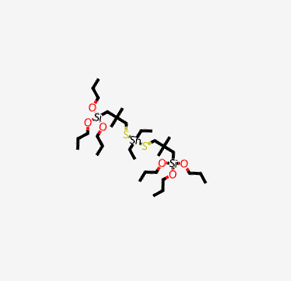 CCCO[Si](CC(C)(C)C[S][Sn]([CH2]C)([CH2]C)[S]CC(C)(C)C[Si](OCCC)(OCCC)OCCC)(OCCC)OCCC